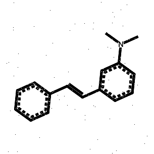 CN(C)c1cccc(C=Cc2ccccc2)c1